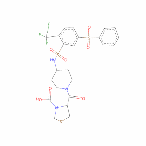 O=C([C@@H]1CSCN1C(=O)O)N1CCC(NS(=O)(=O)c2cc(S(=O)(=O)c3ccccc3)ccc2C(F)(F)F)CC1